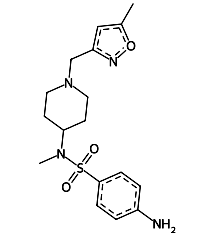 Cc1cc(CN2CCC(N(C)S(=O)(=O)c3ccc(N)cc3)CC2)no1